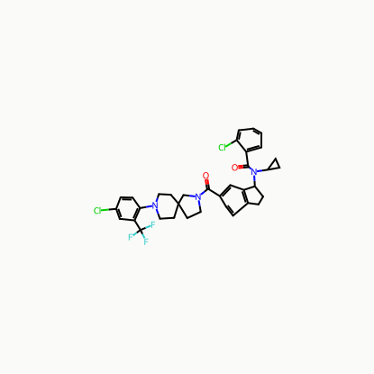 O=C(c1ccc2c(c1)C(N(C(=O)c1ccccc1Cl)C1CC1)CC2)N1CCC2(CCN(c3ccc(Cl)cc3C(F)(F)F)CC2)C1